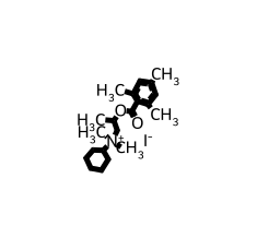 Cc1cc(C)c(C(=O)OC(C)C[N+](C)(C)C2CCCCC2)c(C)c1.[I-]